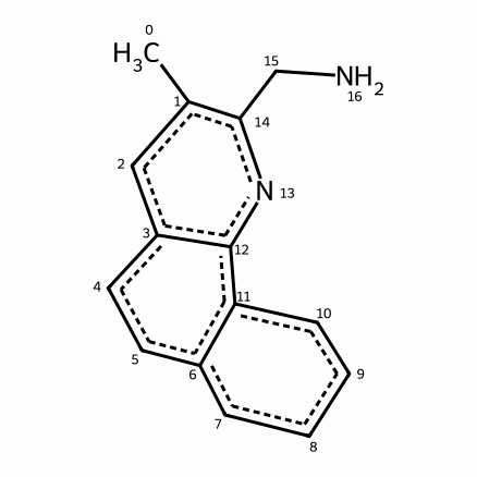 Cc1cc2ccc3ccccc3c2nc1CN